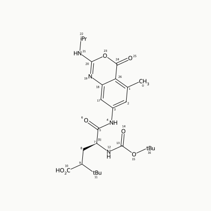 Cc1cc(NC(=O)[C@H](CC(C(=O)O)C(C)(C)C)NC(=O)OC(C)(C)C)cc2nc(NC(C)C)oc(=O)c12